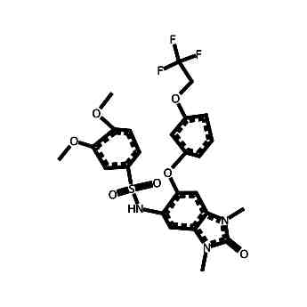 COc1ccc(S(=O)(=O)Nc2cc3c(cc2Oc2cccc(OCC(F)(F)F)c2)n(C)c(=O)n3C)cc1OC